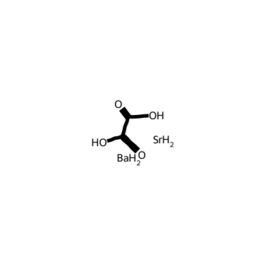 O=C(O)C(=O)O.[BaH2].[SrH2]